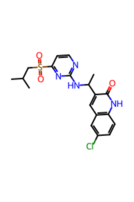 CC(C)CS(=O)(=O)c1ccnc(NC(C)c2cc3cc(Cl)ccc3[nH]c2=O)n1